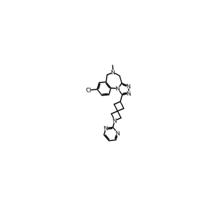 CN1Cc2cc(Cl)ccc2-n2c(nnc2C2CC3(C2)CN(c2ncccn2)C3)C1